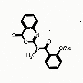 COc1ccccc1C(=O)N(C)c1nc2ccccc2c(=O)o1